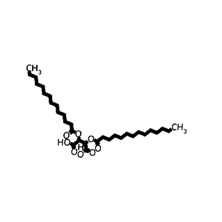 CCCCCCCCCCCCCC(=O)OC(C(=O)O)C(OC(=O)CCCCCCCCCCCCC)C(=O)O